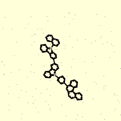 c1ccc2c(-n3c4ccccc4c4cc(-c5ccc6c(c5)c5ccccc5n6-c5ccc(-c6cc7ccc8ccccc8c7c7ccccc67)cc5)ccc43)cccc2c1